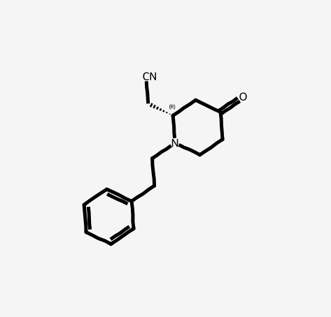 N#CC[C@@H]1CC(=O)CCN1CCc1ccccc1